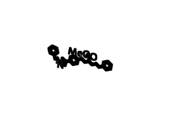 COC(=O)C(CCCc1ccccc1)CCc1ccc(-c2cnn(Cc3ccccc3)c2)cc1